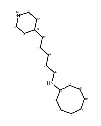 C1CCCC(NCCCCCC2CC[N]CC2)CCC1